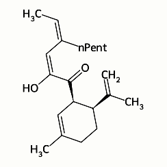 C=C(C)[C@H]1CCC(C)=C[C@H]1C(=O)/C(O)=C\C(=C/C)CCCCC